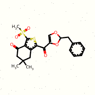 CC1(C)CC(=O)c2c(S(C)(=O)=O)sc(C(=O)C3=COC(Cc4ccccc4)O3)c2C1